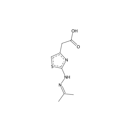 CC(C)=NNc1nc(CC(=O)O)cs1